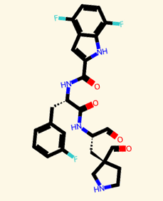 O=C[C@H](C[C@@]1(C=O)CCNC1)NC(=O)[C@H](Cc1cccc(F)c1)NC(=O)c1cc2c(F)ccc(F)c2[nH]1